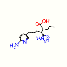 CCC[C@H](C(=O)O)C(CCCc1ccc(N)nc1)c1nnn[nH]1